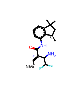 CN/C=C(/C(=O)Nc1cccc2c1[C@H](C)CC2(C)C)C(N)C(F)F